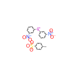 Cc1ccc(S(=O)(=O)[O-])cc1.O=[N+]([O-])c1cccc([I+]c2cccc([N+](=O)[O-])c2)c1